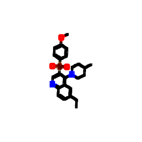 CCc1ccc2ncc(S(=O)(=O)c3ccc(OC)cc3)c(N3CCC(C)CC3)c2c1